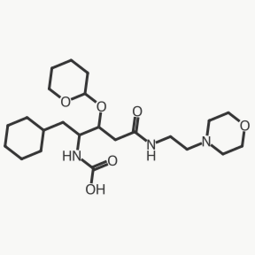 O=C(O)NC(CC1CCCCC1)C(CC(=O)NCCN1CCOCC1)OC1CCCCO1